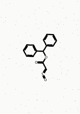 O=S=CC(=O)OC(c1ccccc1)c1ccccc1